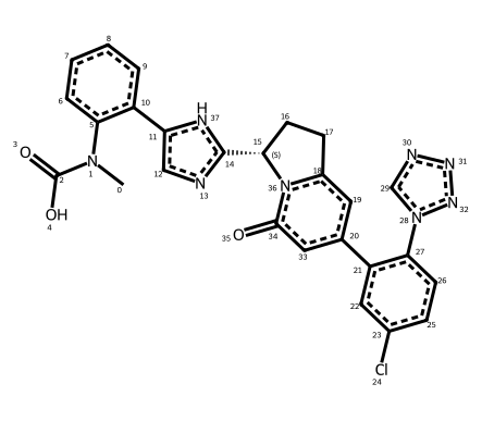 CN(C(=O)O)c1ccccc1-c1cnc([C@@H]2CCc3cc(-c4cc(Cl)ccc4-n4cnnn4)cc(=O)n32)[nH]1